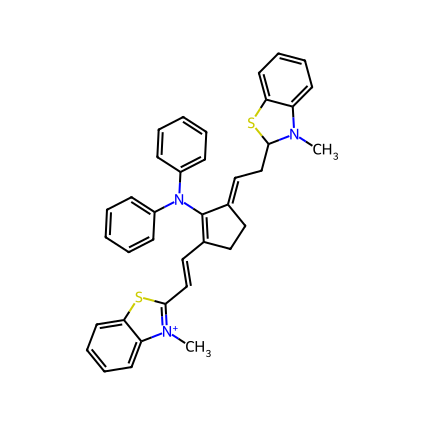 CN1c2ccccc2SC1C/C=C1\CCC(/C=C/c2sc3ccccc3[n+]2C)=C1N(c1ccccc1)c1ccccc1